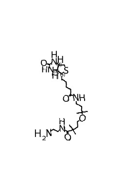 CC(C)(CCNC(=O)CCCC[C@@H]1SC[C@@H]2NC(=O)N[C@@H]21)OCCC(C)(C)C(=O)NCCN